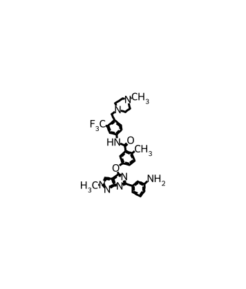 Cc1ccc(Oc2nc(-c3cccc(N)c3)nc3nn(C)cc23)cc1C(=O)Nc1ccc(CN2CCN(C)CC2)c(C(F)(F)F)c1